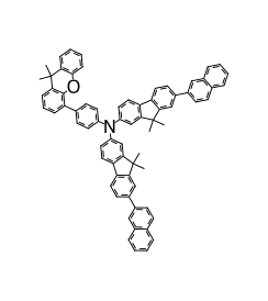 CC1(C)c2cc(-c3ccc4ccccc4c3)ccc2-c2ccc(N(c3ccc(-c4cccc5c4Oc4ccccc4C5(C)C)cc3)c3ccc4c(c3)C(C)(C)c3cc(-c5ccc6ccccc6c5)ccc3-4)cc21